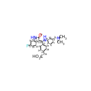 CN(C)Cc1cccc(N/C(=C2\C(=O)Nc3cc(F)ccc32)c2ccc(CC(=O)O)cc2)c1